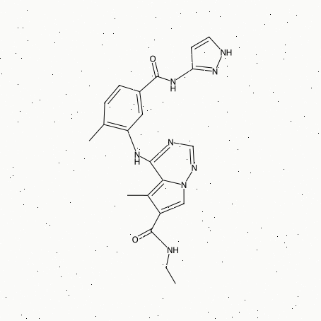 CCNC(=O)c1cn2ncnc(Nc3cc(C(=O)Nc4cc[nH]n4)ccc3C)c2c1C